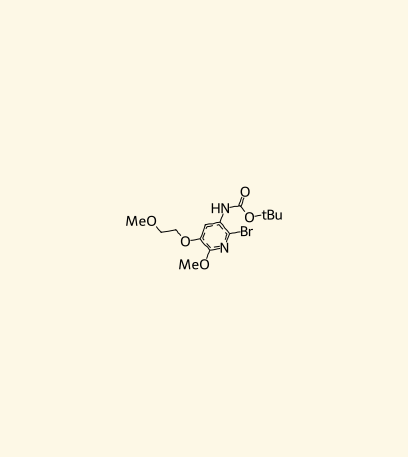 COCCOc1cc(NC(=O)OC(C)(C)C)c(Br)nc1OC